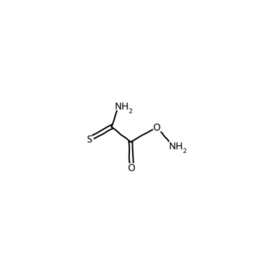 NOC(=O)C(N)=S